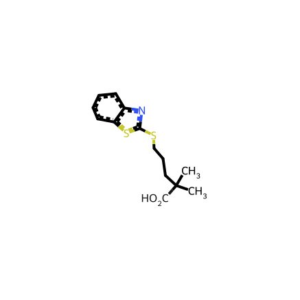 CC(C)(CCCSc1nc2ccccc2s1)C(=O)O